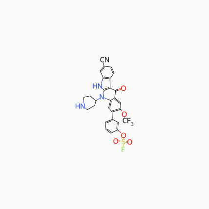 N#Cc1ccc2c(c1)[nH]c1c2c(=O)c2cc(OC(F)(F)F)c(-c3cccc(OS(=O)(=O)F)c3)cc2n1C1CCNCC1